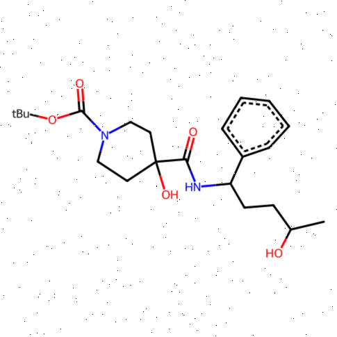 CC(O)CCC(NC(=O)C1(O)CCN(C(=O)OC(C)(C)C)CC1)c1ccccc1